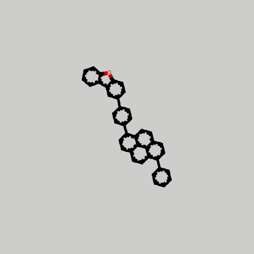 c1ccc(-c2ccc3ccc4c(-c5ccc(-c6ccc7oc8ccccc8c7c6)cc5)ccc5ccc2c3c54)cc1